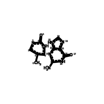 Cc1cnc(=O)[nH]c1.Nc1nc2[nH]cnc2c(=O)[nH]1